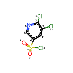 O=S(=O)(Cl)c1cnc(Cl)c(Cl)c1